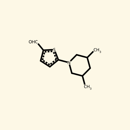 CC1CC(C)CN(c2ccc(C=O)s2)C1